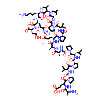 CC(C)C[C@H](NC(=O)[C@@H]1CCCN1C(=O)[C@@H](NC(=O)[C@@H]1CCCN1C(=O)[C@H](CCC(=O)O)NC(=O)[C@H](C)NC(=O)[C@H](C)NC(=O)[C@@H]1CCCN1C(=O)[C@H](CC(C)C)NC(=O)[C@@H]1CCCN1C(=O)[C@@H](NC(=O)[C@@H]1CCCN1C(=O)[C@H](CCC(=O)O)NC(=O)[C@H](C)N)C(C)C)C(C)C)C(=O)N[C@H](C(=O)N[C@@H](CCCCN)C(=O)N[C@@H](CCC(N)=O)C(=O)N[C@@H](CC(=O)O)C(=O)O)C(C)C